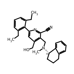 CCc1cccc(CC)c1-c1cc(CO)c(CN(C)[C@H]2CCCc3ccccc32)c(C#N)n1